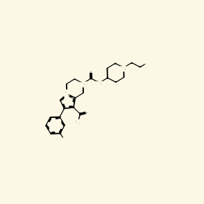 NC(=O)c1c(-c2cccc(F)c2)cn2c1CN(C(=O)NC1CCN(CCC(F)(F)F)CC1)CC2